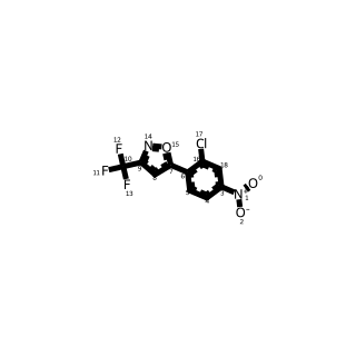 O=[N+]([O-])c1ccc(-c2cc(C(F)(F)F)no2)c(Cl)c1